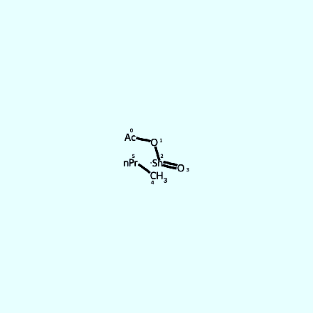 CC(=O)[O][Sn]=[O].CCCC